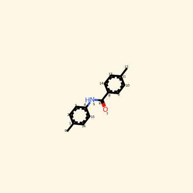 Cc1ccc(NC(=O)c2ccc(C)cc2)cc1